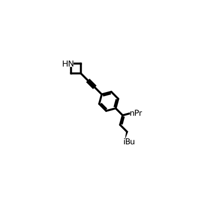 CCC/C(=C\C[C@H](C)CC)c1ccc(C#CC2CNC2)cc1